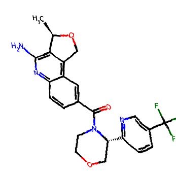 C[C@H]1OCc2c1c(N)nc1ccc(C(=O)N3CCOC[C@H]3c3ccc(C(F)(F)F)cn3)cc21